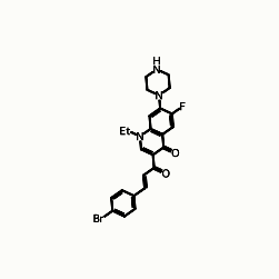 CCn1cc(C(=O)C=Cc2ccc(Br)cc2)c(=O)c2cc(F)c(N3CCNCC3)cc21